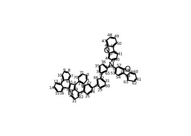 c1ccc(-c2c3c4ccccc4c4ccccc4c3n3cccc(-c4ccc(-c5cccc(-c6cccc(N(c7ccc8c(c7)oc7ccccc78)c7ccc8c(c7)oc7ccccc78)c6)c5)cc4)c23)cc1